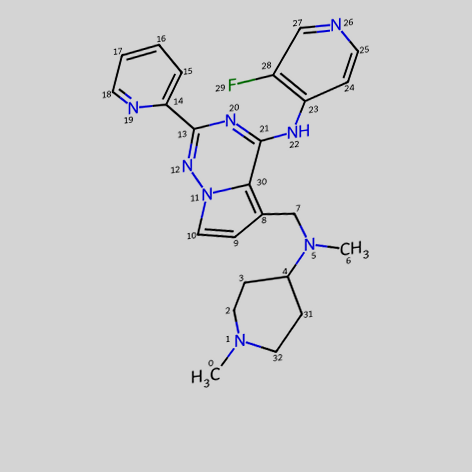 CN1CCC(N(C)Cc2ccn3nc(-c4ccccn4)nc(Nc4ccncc4F)c23)CC1